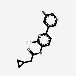 O=C(CC1CC1)Nc1ccc(-c2cncc(F)c2)nc1C(F)(F)F